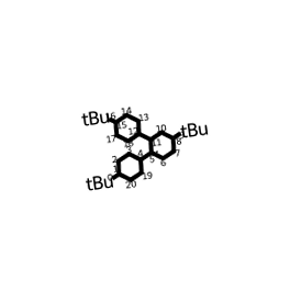 CC(C)(C)C1CCC([C]2CCC(C(C)(C)C)CC2C2CCC(C(C)(C)C)CC2)CC1